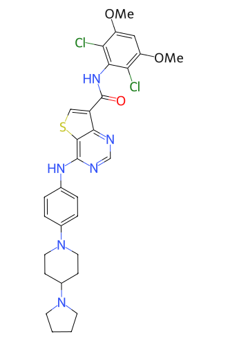 COc1cc(OC)c(Cl)c(NC(=O)c2csc3c(Nc4ccc(N5CCC(N6CCCC6)CC5)cc4)ncnc23)c1Cl